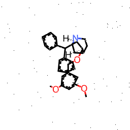 COc1cc(CO[C@@H]2C3CCN(CC3)[C@@H]2C(c2ccccc2)c2ccccc2)cc(OC)c1